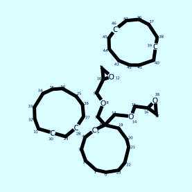 C1CCCCCC(COCC2CO2)(COCC2CO2)CCCCC1.C1CCCCCCCCCCC1.C1CCCCCCCCCCC1